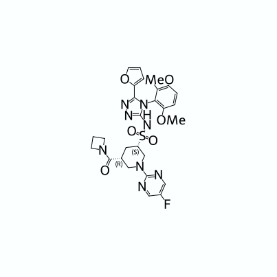 COc1cccc(OC)c1-n1c(NS(=O)(=O)[C@H]2C[C@@H](C(=O)N3CCC3)CN(c3ncc(F)cn3)C2)nnc1-c1ccco1